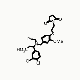 COc1cc(CN(CC(C)C)C(CC(=O)O)c2ccc(Cl)c(Cl)c2)ccc1SCCN1C(=O)CCC1=O